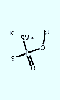 CCOP(=O)([S-])SC.[K+]